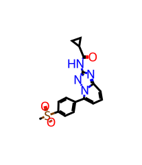 CS(=O)(=O)c1ccc(-c2cccc3nc(NC(=O)C4CC4)nn23)cc1